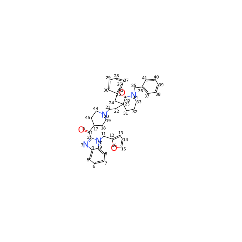 O=C(c1nc2ccccc2n1Cc1ccco1)C1CCN(CCC2(Cc3ccccc3)CCCN(Cc3ccccc3)C2=O)CC1